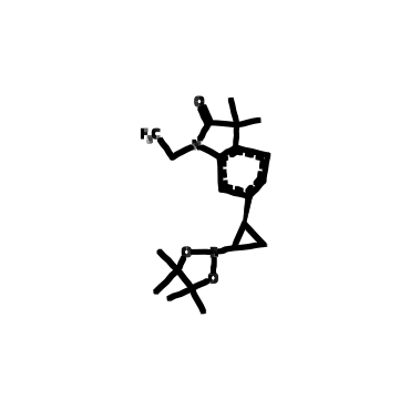 CC1(C)C(=O)N(CC(F)(F)F)c2cc([C@H]3CC3B3OC(C)(C)C(C)(C)O3)ccc21